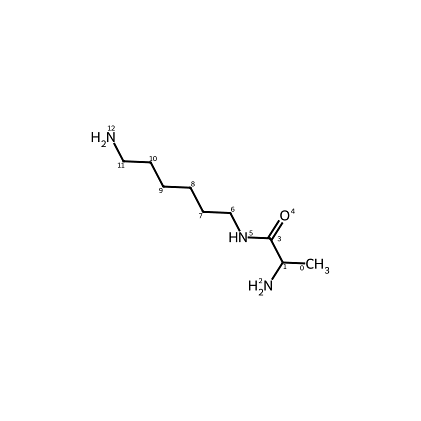 CC(N)C(=O)NCCCCCCN